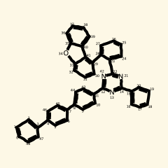 c1ccc(-c2ccc(-c3ccc(-c4nc(-c5ccccc5)nc(-c5ccccc5-c5cccc6oc7ccccc7c56)n4)cc3)cc2)cc1